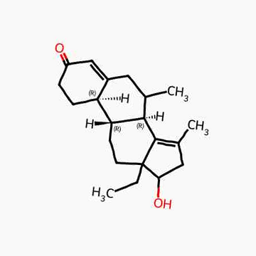 CCC12CC[C@H]3[C@H](C1=C(C)CC2O)C(C)CC1=CC(=O)CC[C@@H]13